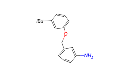 [CH2]CC(C)c1cccc(OCc2cccc(N)c2)c1